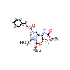 CC(C)(C)OC(=O)NC(CCN(CC(NC(=O)OC(C)(C)C)C(=O)O)C(=O)OCc1ccccc1)C(=O)O